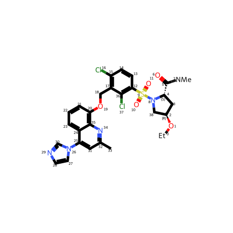 CCO[C@@H]1C[C@@H](C(=O)NC)N(S(=O)(=O)c2ccc(Cl)c(COc3cccc4c(-n5ccnc5)cc(C)nc34)c2Cl)C1